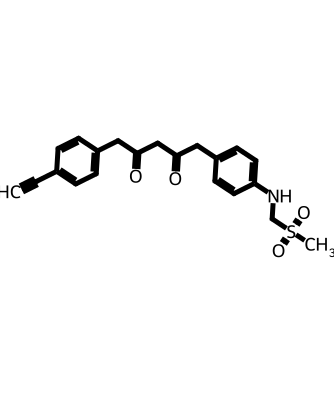 C#Cc1ccc(CC(=O)CC(=O)Cc2ccc(NCS(C)(=O)=O)cc2)cc1